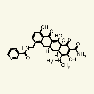 CN(C)[C@@H]1C(O)=C(C(N)=O)C(=O)[C@@]2(O)C(O)=C3C(=O)c4c(O)ccc(CNC(=O)c5cccnc5)c4C[C@H]3C[C@@H]12